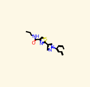 C=C/C=C(\C=C/C)n1cc(-c2nc(C(=O)NCCC)cs2)cn1